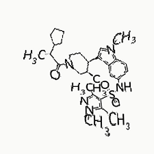 Cc1nn(C)c(C)c1S(=O)(=O)Nc1ccc2c(c1)c([C@@H]1CCN(C(=O)[C@H](C)C3CCCC3)C[C@@H]1C)cn2C